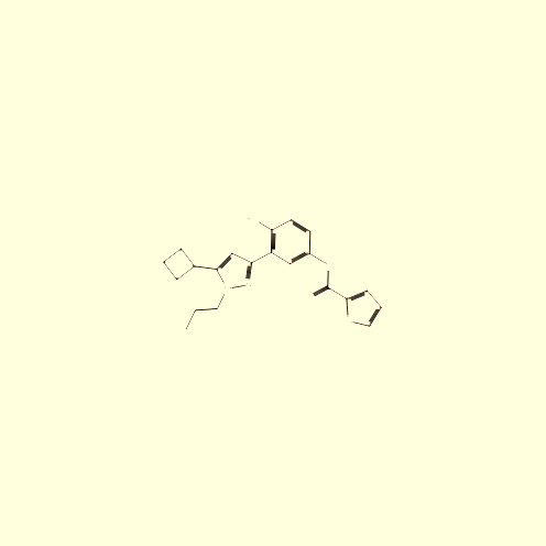 CCCn1nc(-c2cc(NC(=O)c3ccco3)ccc2O)cc1C1CCC1